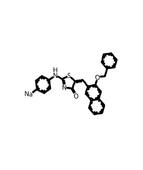 O=C1N=C(Nc2cc[c]([Na])cc2)SC1=Cc1cc2ccccc2cc1OCc1ccccc1